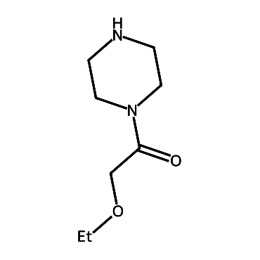 CCOCC(=O)N1CCNCC1